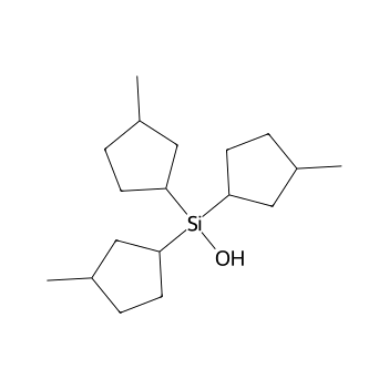 CC1CCC([Si](O)(C2CCC(C)C2)C2CCC(C)C2)C1